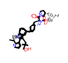 CCn1c(-c2cccnc2C(C)OC)c(CC(C)(C)CO)c2cc(-c3cccc(CC(NC(=O)OC(C)(C)C)C(=O)N4CC[C@H](C(=O)O)C4)c3)ccc21